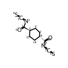 O=C(N=C=S)[C@H]1CC[C@H](C(=O)N=C=S)CC1